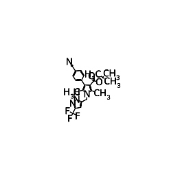 Cc1c(C(=O)OC(C)(C)C)c(-c2ccc(C#N)cc2)c(C)n1Cc1cc(C(F)(F)F)n[nH]1